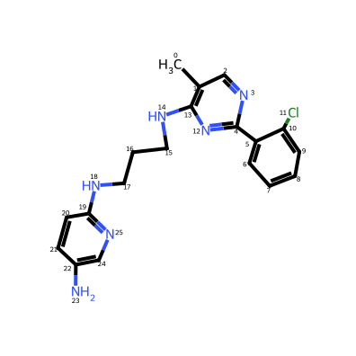 Cc1cnc(-c2ccccc2Cl)nc1NCCCNc1ccc(N)cn1